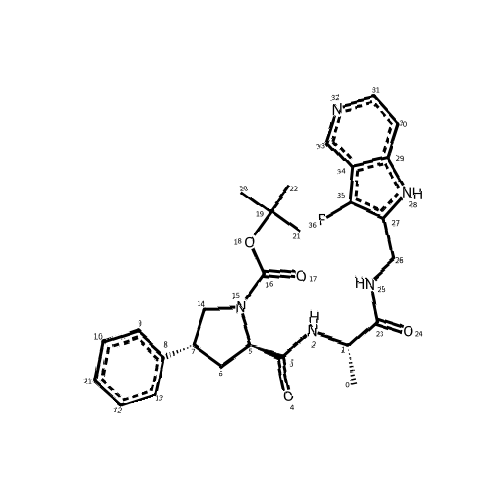 C[C@H](NC(=O)[C@H]1C[C@H](c2ccccc2)CN1C(=O)OC(C)(C)C)C(=O)NCc1[nH]c2ccncc2c1F